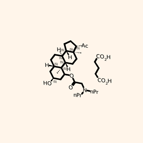 CCCN(CCC)CC(=O)OC1C[C@@H](O)C[C@@H]2CC[C@H]3[C@@H]4CC[C@H](C(C)=O)[C@@]4(C)CC[C@@H]3[C@@]12C.O=C(O)CCCC(=O)O